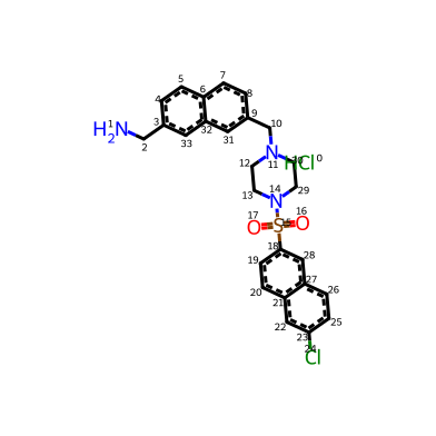 Cl.NCc1ccc2ccc(CN3CCN(S(=O)(=O)c4ccc5cc(Cl)ccc5c4)CC3)cc2c1